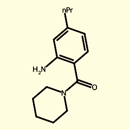 CCCc1ccc(C(=O)N2CCCCC2)c(N)c1